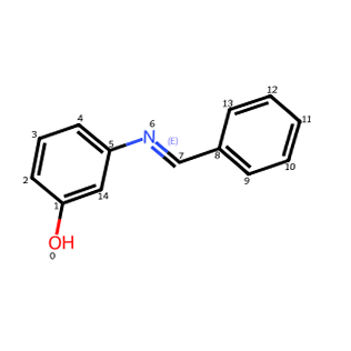 Oc1cccc(/N=C/c2ccccc2)c1